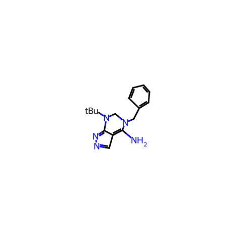 CC(C)(C)N1CN(Cc2ccccc2)C(N)=C2C=NN=C21